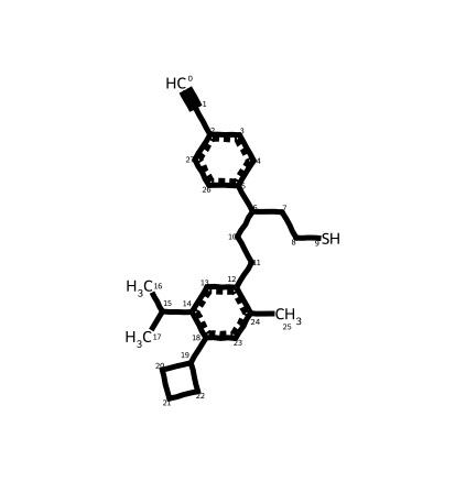 C#Cc1ccc(C(CCS)CCc2cc(C(C)C)c(C3CCC3)cc2C)cc1